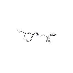 CO[C@H](C)C/C=C/c1cccc(C)c1